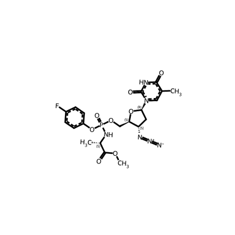 COC(=O)[C@H](C)NP(=O)(OC[C@H]1O[C@@H](n2cc(C)c(=O)[nH]c2=O)C[C@@H]1N=[N+]=[N-])Oc1ccc(F)cc1